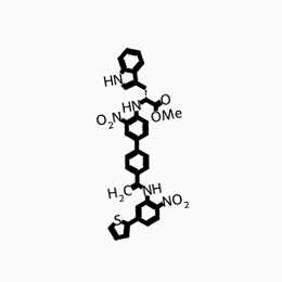 C=C(Nc1cc(-c2cccs2)ccc1[N+](=O)[O-])c1ccc(-c2ccc(N[C@H](Cc3c[nH]c4ccccc34)C(=O)OC)c([N+](=O)[O-])c2)cc1